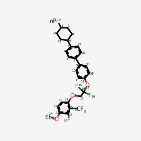 CCCC1CCC(c2ccc(-c3ccc(OC(F)(F)COc4ccc(OCC)c(F)c4C(F)(F)F)cc3)cc2)CC1